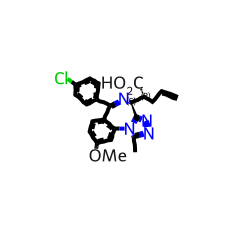 C=CC[C@@H](C(=O)O)[C@@H]1N=C(c2ccc(Cl)cc2)c2ccc(OC)cc2-n2c(C)nnc21